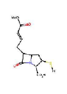 CCSC1CC2C(CC=CC(=O)OC)C(=O)N2C1C(=O)O